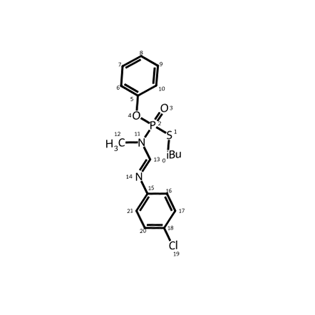 CCC(C)SP(=O)(Oc1ccccc1)N(C)C=Nc1ccc(Cl)cc1